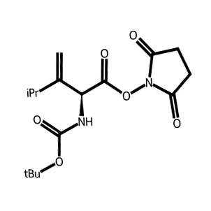 C=C(C(C)C)[C@H](NC(=O)OC(C)(C)C)C(=O)ON1C(=O)CCC1=O